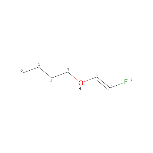 CCCCOC=CF